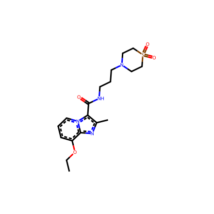 CCOc1cccn2c(C(=O)NCCCN3CCS(=O)(=O)CC3)c(C)nc12